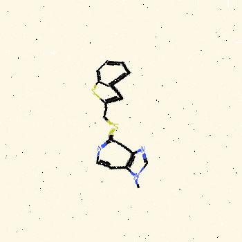 Cn1cnc2c(SCc3cc4ccccc4s3)nccc21